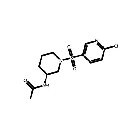 CC(=O)N[C@H]1CCCN(S(=O)(=O)c2ccc(Cl)nc2)C1